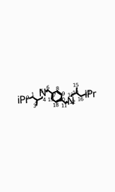 CC(C)CC(C)C/N=C\c1ccc(/C=N\CC(C)CC(C)C)cc1